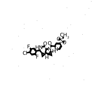 CCS(=O)(=O)c1ccnc(C(=O)N2[C@@H](C(=O)N[C@@H](c3cc(F)c(Cl)cc3F)C3CC3)C[C@H]3C[C@H]32)c1